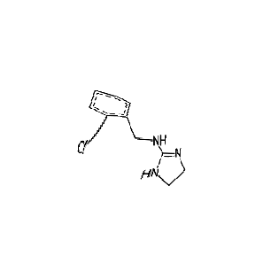 Clc1ccccc1CNC1=NCCN1